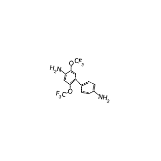 Nc1ccc(-c2cc(OC(F)(F)F)c(N)cc2OC(F)(F)F)cc1